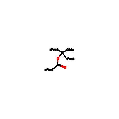 CCCCCC(=O)O[Si](CCCCC)(CCCCC)OC